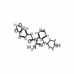 NC1=NC(C2CCNCC2)c2ccccc2N1C(=O)Cc1ccc2c(c1)OCO2